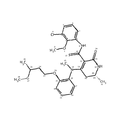 COc1c(Cl)cccc1NC(=S)C1=C(N(C)c2ccncc2OCCC(C)OC)C[C@@H](C)NC1=O